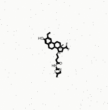 CCc1cc2c(cc1O)CCC1C2CC[C@]2(C)C(C(F)F)C[C@@H](CCCC(=O)Nc3ncc(C)s3)C12